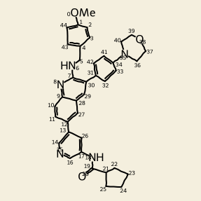 COc1ccc(CNc2nc3ccc(-c4cncc(NC(=O)C5CCCC5)c4)cc3cc2-c2ccc(N3CCOCC3)cc2)cc1